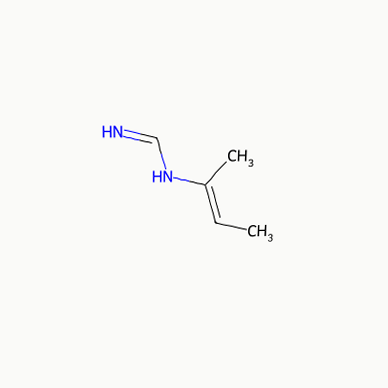 C/C=C(\C)NC=N